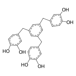 Oc1ccc(Cc2cc(Cc3ccc(O)c(O)c3)cc(Cc3ccc(O)c(O)c3)c2)cc1O